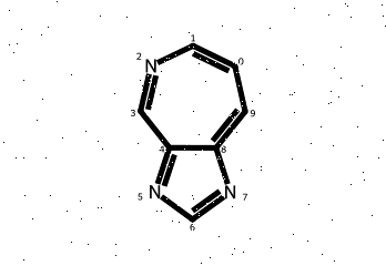 c1cncc2ncnc-2c1